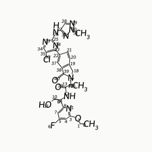 CCOc1cc(F)cc([C@@H](CO)NC(=O)[C@@H](C)N2Cc3ccc(-c4nc(Nc5cnn(C)n5)ncc4Cl)cc3C2=O)n1